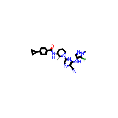 C[C@@H]1[C@H](NC(=O)c2ccc(C3CC3)cc2)CCCN1c1cnc(C#N)c(Nc2cnn(C)c2F)n1